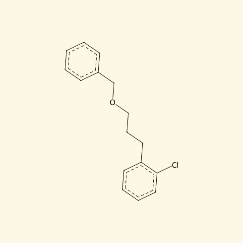 Clc1ccccc1CCCOCc1ccccc1